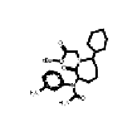 CC(C)(C)OC(=O)CN1C(=O)C(N(C(N)=O)c2cccc(C(F)(F)F)c2)CCCC1C1CCCCC1